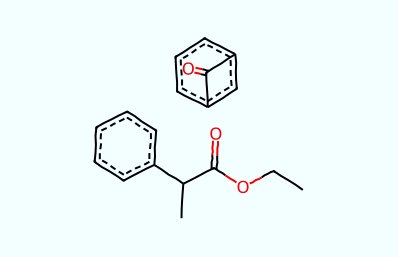 CCOC(=O)C(C)c1ccccc1.O=C1c2cccc1c2